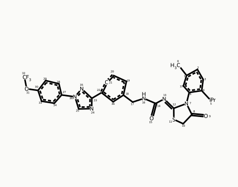 Cc1ccc(C(C)C)c(N2C(=O)CSC2=NC(=O)NCc2cccc(-c3ncn(-c4ccc(OC(F)(F)F)cc4)n3)c2)c1